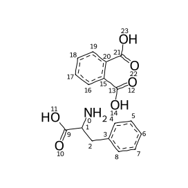 NC(Cc1ccccc1)C(=O)O.O=C(O)c1ccccc1C(=O)O